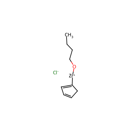 CCCC[O][Zr+][C]1=CC=CC1.[Cl-]